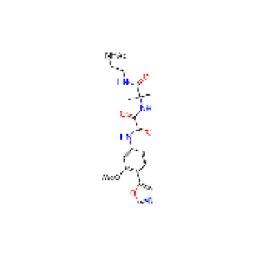 COc1cc(NC(=O)C(=O)NC(C)(C)C(=O)NCCNC(C)=O)ccc1-c1cnco1